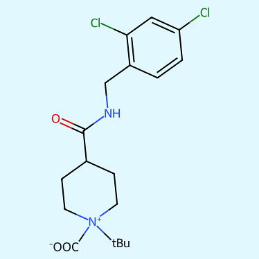 CC(C)(C)[N+]1(C(=O)[O-])CCC(C(=O)NCc2ccc(Cl)cc2Cl)CC1